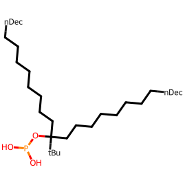 [CH2]C([CH2])([CH2])C(CCCCCCCCCCCCCCCCCC)(CCCCCCCCCCCCCCCCCC)OP(O)O